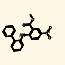 COC(=O)c1cc([N+](=O)[O-])ccc1Nc1ccccc1-c1ccccc1